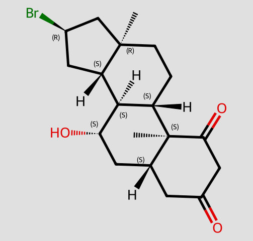 C[C@]12CC[C@H]3[C@@H]([C@@H](O)C[C@H]4CC(=O)CC(=O)[C@@]43C)[C@@H]1C[C@@H](Br)C2